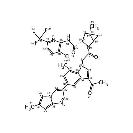 CC(=O)c1cn(CC(=O)N2C3C[C@]3(C)C[C@H]2C(=O)Nc2nc(C(F)(F)F)ccc2Cl)c2c(C)cc(-c3cnc4cc(C)nn4c3)cc12